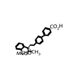 CON(C)[C@H](CCc1ccc(-c2ccc(C(=O)O)cc2)cc1)c1ccccc1C=O